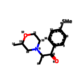 CSc1ccc(C(=O)C(C)N2CCOC(C)C2)cc1